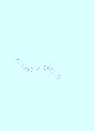 Cc1nccn1CC1CCc2[nH]c3ccc(OC(=O)C(=O)Oc4ccc5[nH]c6c(c5c4)C(=O)C(Cn4ccnc4C)CC6)cc3c2C1=O